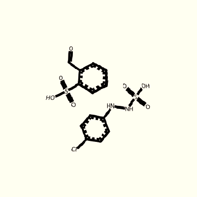 O=Cc1ccccc1S(=O)(=O)O.O=S(=O)(O)NNc1ccc(Cl)cc1